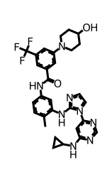 Cc1ccc(NC(=O)c2cc(N3CCC(O)CC3)cc(C(F)(F)F)c2)cc1Nc1nccn1-c1cc(NC2CC2)ncn1